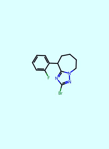 Fc1ccccc1C1CCCCn2nc(Br)nc21